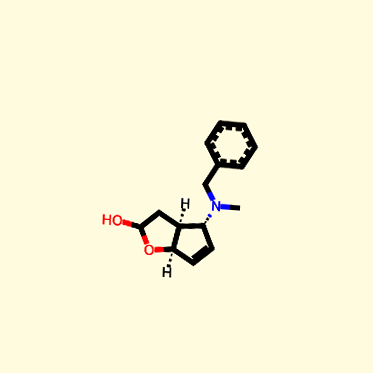 CN(Cc1ccccc1)[C@@H]1C=C[C@H]2OC(O)C[C@@H]12